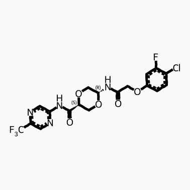 O=C(COc1ccc(Cl)c(F)c1)N[C@H]1CO[C@H](C(=O)Nc2cnc(C(F)(F)F)cn2)CO1